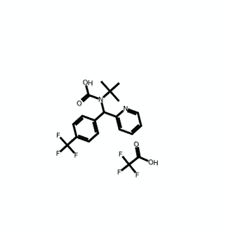 CC(C)(C)N(C(=O)O)C(c1ccc(C(F)(F)F)cc1)c1ccccn1.O=C(O)C(F)(F)F